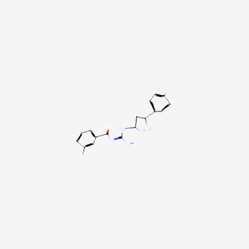 CC(C)(C)N/C(=N/C(=O)c1cccc(C(F)(F)F)c1)NC1CC(c2ccc(Cl)cc2)NN1